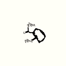 CCCCCC(=O)c1ccccc1CCCC